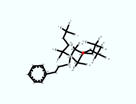 FC(F)(F)CC[C](F)(F)[Sn]([O]CCc1ccccc1)([C](F)(F)CCC(F)(F)F)[C](F)(F)CCC(F)(F)F